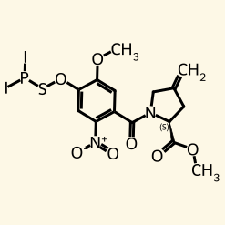 C=C1C[C@@H](C(=O)OC)N(C(=O)c2cc(OC)c(OSP(I)I)cc2[N+](=O)[O-])C1